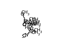 COCCCCOc1ccccc1C(=O)NC(C)C(CC(N)C(O)CC(C(=O)NCCN1CCSCC1)C(C)C)C(C)C.Cl.Cl